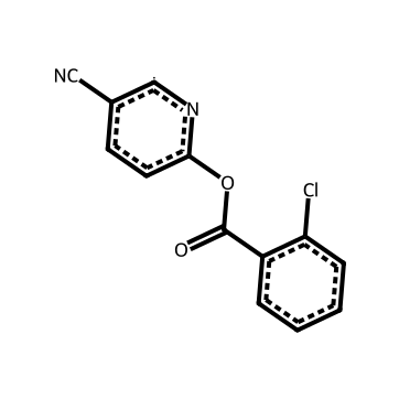 N#Cc1[c]nc(OC(=O)c2ccccc2Cl)cc1